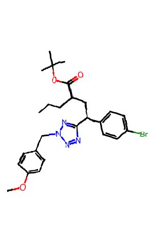 CCCC(C[C@@H](c1ccc(Br)cc1)c1nnn(Cc2ccc(OC)cc2)n1)C(=O)OC(C)(C)C